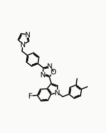 Cc1ccc(Cn2cc(-c3nc(-c4ccc(Cn5ccnc5)cc4)no3)c3cc(F)ccc32)cc1C